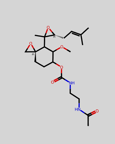 COC1C(OC(=O)NCCNC(C)=O)CC[C@]2(CO2)C1C1(C)O[C@@H]1CC=C(C)C